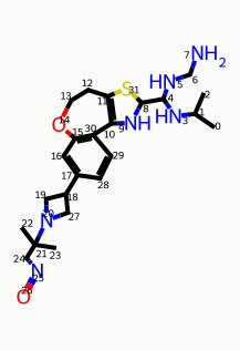 CC(C)NC(NCN)C1NC2=C(CCOc3cc(C4CN(C(C)(C)CN=O)C4)ccc32)S1